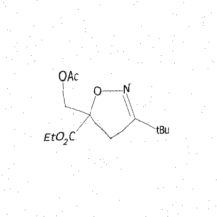 CCOC(=O)C1(COC(C)=O)CC(C(C)(C)C)=NO1